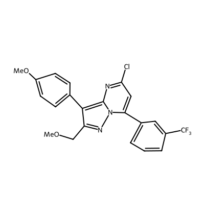 COCc1nn2c(-c3cccc(C(F)(F)F)c3)cc(Cl)nc2c1-c1ccc(OC)cc1